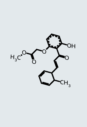 COC(=O)COc1cccc(O)c1C(=O)C=CC1C=CC=CC1C